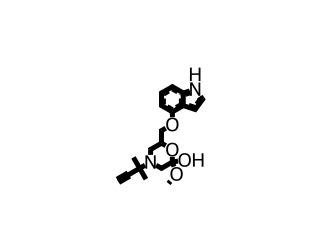 C#CC(C)(C)N1CC(COc2cccc3[nH]ccc23)OC(O)(OC)C1